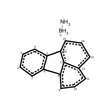 B.N.c1ccc2c(c1)-c1cccc3cccc-2c13